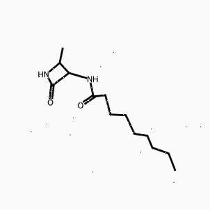 CCCCCCCCC(=O)NC1C(=O)NC1C